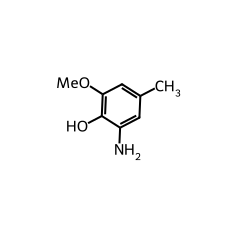 COc1cc(C)cc(N)c1O